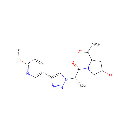 CCOc1ccc(-c2cn([C@H](C(=O)N3CC(O)CC3C(=O)NC)C(C)(C)C)nn2)cn1